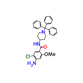 COc1cc(N)c(Cl)cc1C(=O)NC1CCN(C(c2ccccc2)(c2ccccc2)c2ccccc2)CC1